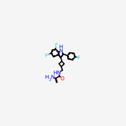 C=C(N)C(=O)NCC1CC(c2c(-c3ccc(F)cc3)[nH]c3c(F)cc(F)cc23)C1